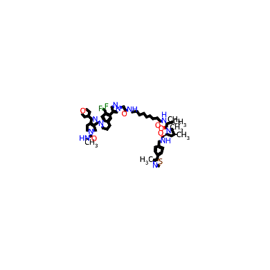 CNC(=O)N1CCC2=C(C1)C(N1CCCc3cc(-c4cnn(CC(=O)NCCCCCCCCC(=O)N[C@H](C(=O)N5C[C@@H](C)C[C@H]5C(=O)NCc5ccc(-c6scnc6C)cc5)C(C)(C)C)c4)c(C(F)F)cc31)=NC2C1CCOCC1